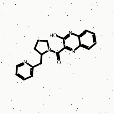 O=C(c1nc2ccccc2nc1O)N1CCCC1Cc1ccccn1